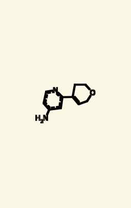 Nc1ccnc(C2=CCOCC2)c1